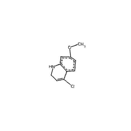 COc1ccc2c(c1)NCC=C2Cl